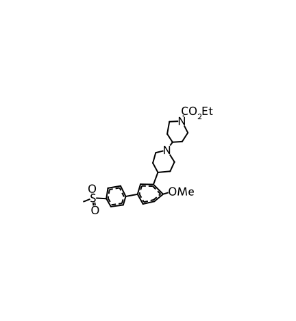 CCOC(=O)N1CCC(N2CCC(c3cc(-c4ccc(S(C)(=O)=O)cc4)ccc3OC)CC2)CC1